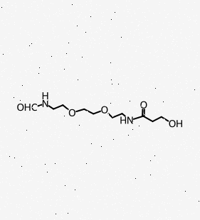 O=CNCCOCCOCCNC(=O)CCO